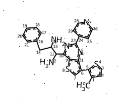 Cc1ccsc1-c1csc2c(C(N)C(N)Cc3ccccc3)nc(-c3ccncc3)nc12